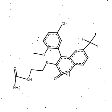 COc1ccc(Cl)cc1-c1c(SCCNC(N)=O)c(=O)[nH]c2ccc(C(F)(F)F)cc12